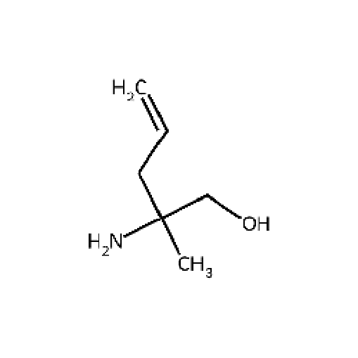 C=CCC(C)(N)CO